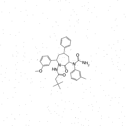 COc1cccc(C2CC(c3ccccc3)CC(N(C(N)=O)c3cccc(C)c3)C(=O)N2NC(=O)CC(C)(C)C)c1